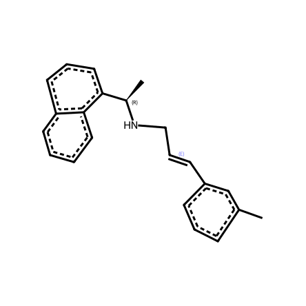 Cc1cccc(/C=C/CN[C@H](C)c2cccc3ccccc23)c1